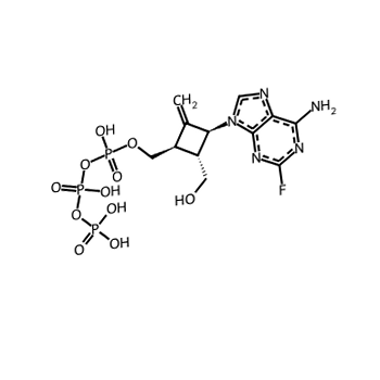 C=C1[C@@H](n2cnc3c(N)nc(F)nc32)[C@H](CO)[C@H]1COP(=O)(O)OP(=O)(O)OP(=O)(O)O